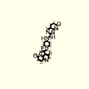 O=C1CCC2=CN=C(CNC3CCN(C[C@]4(F)Cn5c(=O)ccc6ncc(F)c4c65)CC3)NC2=N1